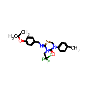 Cc1ccc(N2CS/C(=N\Cc3ccc(OC(C)C)cc3)N(CC(F)(F)F)C2=O)cc1